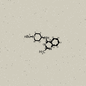 CCCCN1CCC(Nc2nc(C)nc3ccccc23)CC1